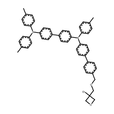 CCC1(COCc2ccc(-c3ccc(N(c4ccc(C)cc4)c4ccc(-c5ccc(N(c6ccc(C)cc6)c6ccc(C)cc6)cc5)cc4)cc3)cc2)COC1